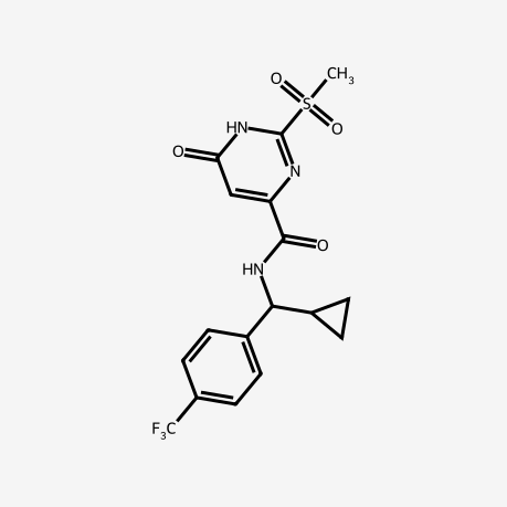 CS(=O)(=O)c1nc(C(=O)NC(c2ccc(C(F)(F)F)cc2)C2CC2)cc(=O)[nH]1